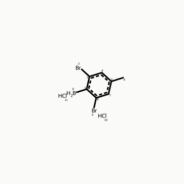 Bc1c(Br)cc(C)cc1Br.Cl.Cl